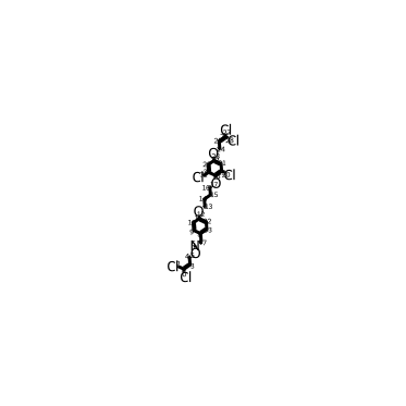 ClC(Cl)=CCO/N=C/c1ccc(OCCCCOc2c(Cl)cc(OCC=C(Cl)Cl)cc2Cl)cc1